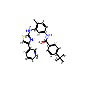 Cc1ccc(NC(=O)c2ccc(C(C)(C)C)cc2)cc1Nc1nc(-c2cccnc2)cs1